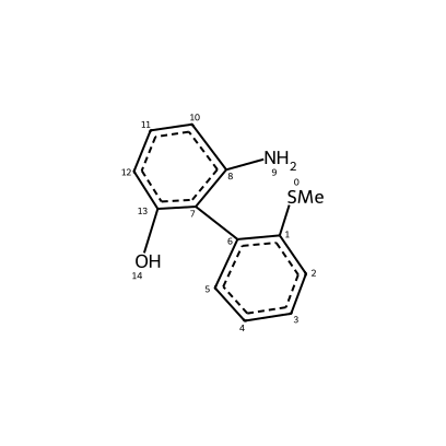 CSc1ccccc1-c1c(N)cccc1O